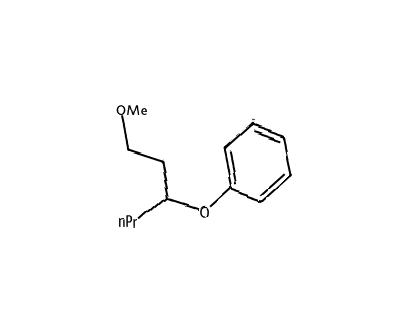 CCCC(CCOC)Oc1c[c]ccc1